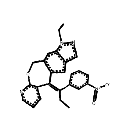 CCC(=C1c2cc3cnn(CC)c3cc2COc2ncccc21)c1cccc([N+](=O)[O-])c1